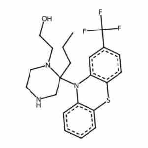 CCCC1(N2c3ccccc3Sc3ccc(C(F)(F)F)cc32)CNCCN1CCO